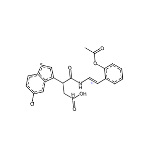 CC(=O)Oc1ccccc1/C=C/NC(=O)C(C[PH](=O)O)c1csc2ccc(Cl)cc12